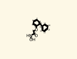 O=C(COc1ccccc1-c1ccccc1)NO